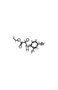 CCOC(=O)C(=O)Nc1ccc(Br)cc1F